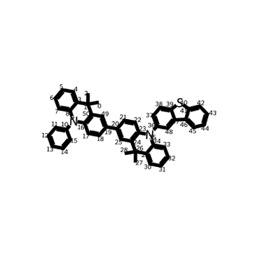 CC1(C)c2ccccc2N(c2ccccc2)c2ccc(-c3ccc4c(c3)C(C)(C)c3ccccc3N4c3ccc4sc5ccccc5c4c3)cc21